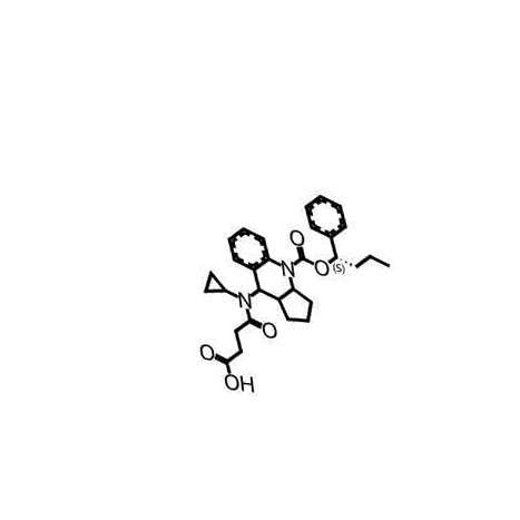 CCC[C@H](OC(=O)N1c2ccccc2C(N(C(=O)CCC(=O)O)C2CC2)C2CCCC21)c1ccccc1